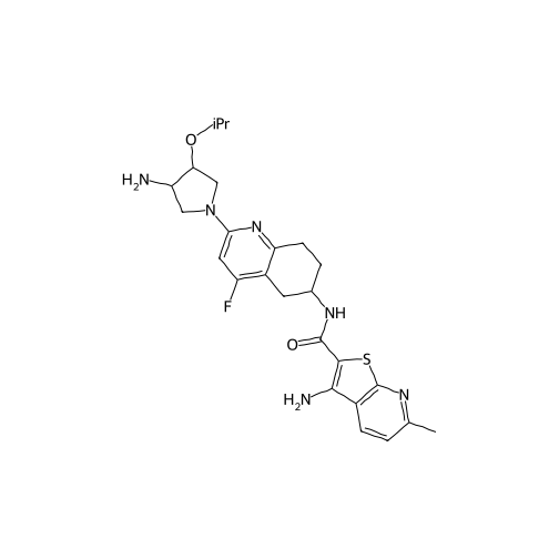 Cc1ccc2c(N)c(C(=O)NC3CCc4nc(N5CC(N)C(OC(C)C)C5)cc(F)c4C3)sc2n1